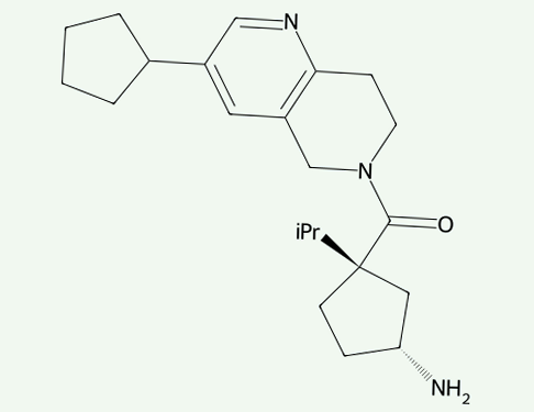 CC(C)[C@]1(C(=O)N2CCc3ncc(C4CCCC4)cc3C2)CC[C@@H](N)C1